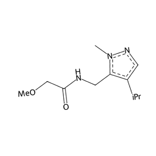 COCC(=O)NCc1c(C(C)C)cnn1C